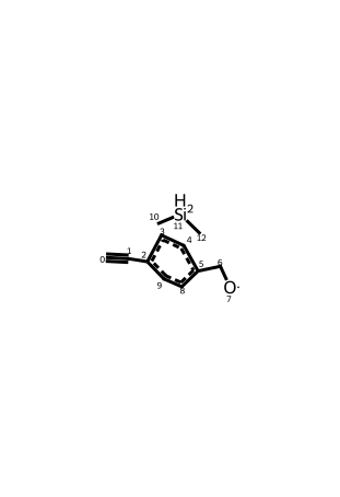 C#Cc1ccc(C[O])cc1.C[SiH2]C